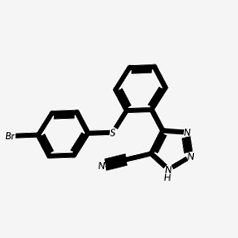 N#Cc1[nH]nnc1-c1ccccc1Sc1ccc(Br)cc1